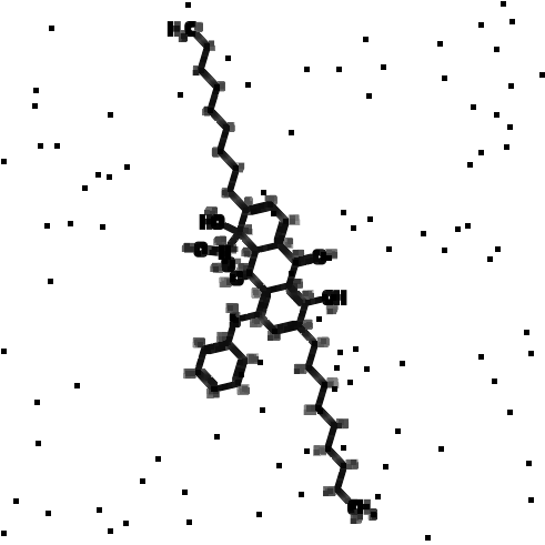 CCCCCCCCCC1=CC=C2C(=O)c3c(O)c(CCCCCCCCC)cc(Sc4ccccc4)c3C(=O)C2C1(O)[N+](=O)[O-]